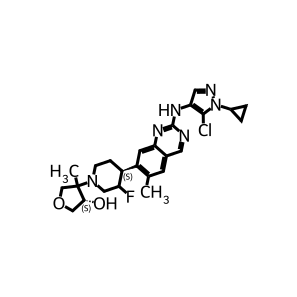 Cc1cc2cnc(Nc3cnn(C4CC4)c3Cl)nc2cc1[C@@H]1CCN(C2(C)COC[C@H]2O)CC1F